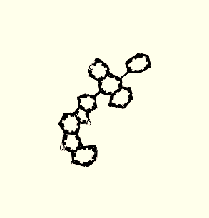 c1ccc(-c2c3ccccc3c(-c3ccc4c(c3)oc3c4ccc4oc5ccccc5c43)c3ccccc23)cc1